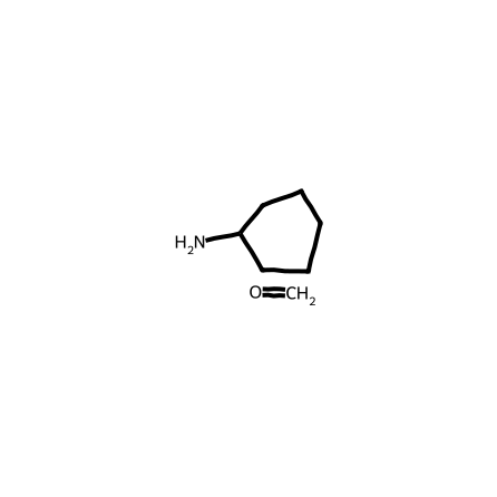 C=O.NC1CCCCC1